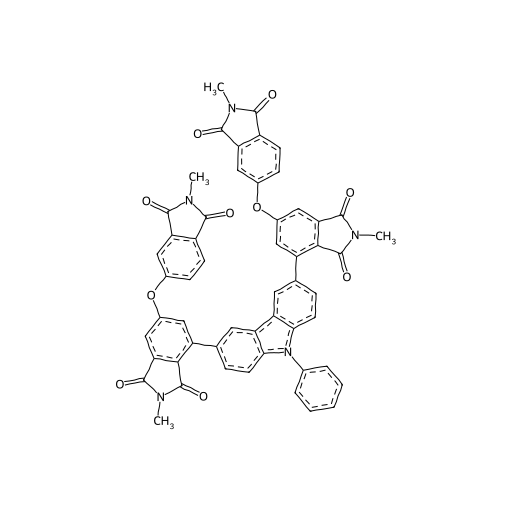 CN1C(=O)c2ccc(Oc3cc4c(c(-c5ccc6c(c5)c5cc(-c7cc(Oc8ccc9c(c8)C(=O)N(C)C9=O)cc8c7C(=O)N(C)C8=O)ccc5n6-c5ccccc5)c3)C(=O)N(C)C4=O)cc2C1=O